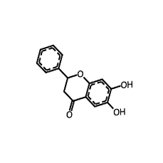 O=C1CC(c2ccccc2)Oc2cc(O)c(O)cc21